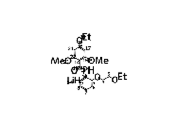 CCOCCOc1ccccc1PC(=O)c1c(OC)cc(OCC)cc1OC.[LiH]